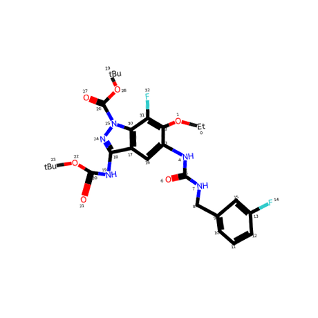 CCOc1c(NC(=O)NCc2cccc(F)c2)cc2c(NC(=O)OC(C)(C)C)nn(C(=O)OC(C)(C)C)c2c1F